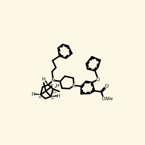 COC(=O)c1ccc(N2CCC(N(CCCc3ccccc3)[C@H]3C[C@H]4C[C@@H]([C@@H]3C)C4(C)C)CC2)cc1Oc1ccccc1